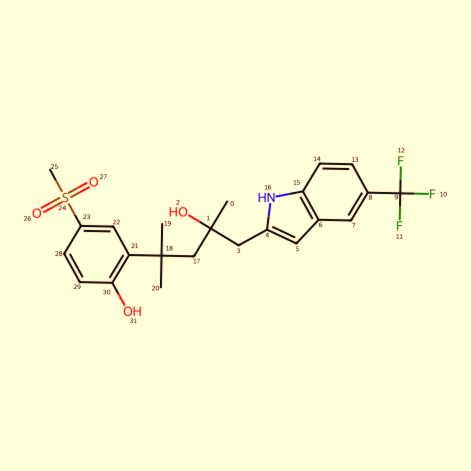 CC(O)(Cc1cc2cc(C(F)(F)F)ccc2[nH]1)CC(C)(C)c1cc(S(C)(=O)=O)ccc1O